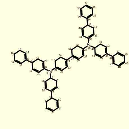 C1=CCC(C2=CCC(N(C3=CCC(C4=CCCC=C4)C=C3)C3=CC=C(C4=CC=C(N(C5=CCC(c6ccccc6)C=C5)C5C=CC(c6ccccc6)=CC5)CC4)CC3)C=C2)C=C1